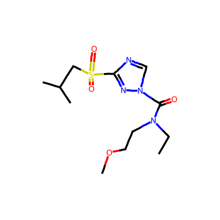 CCN(CCOC)C(=O)n1cnc(S(=O)(=O)CC(C)C)n1